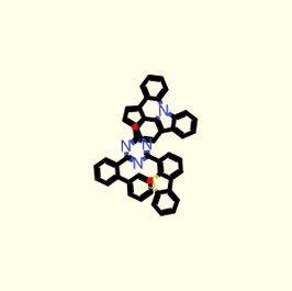 C1=Cc2c3n(c4ccccc24)-c2ccccc2C2=CC=C(c4nc(-c5ccccc5-c5ccccc5)nc(-c5cccc6c5sc5ccccc56)n4)C23C1